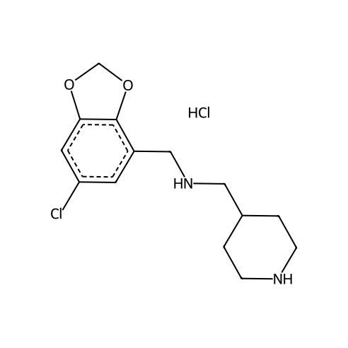 Cl.Clc1cc(CNCC2CCNCC2)c2c(c1)OCO2